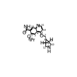 CC(C)Oc1cc2c(OC[C@H]3[C@@H]4CNC[C@@H]43)ccnc2cc1C(N)=O